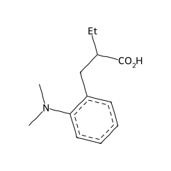 CCC(Cc1ccccc1N(C)C)C(=O)O